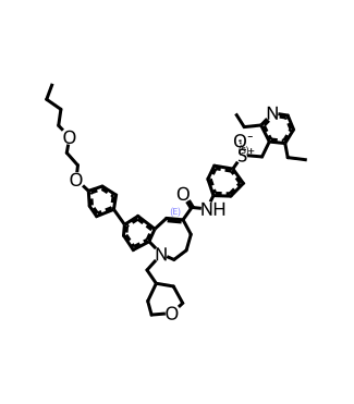 CCCCOCCOc1ccc(-c2ccc3c(c2)/C=C(/C(=O)Nc2ccc([S@+]([O-])Cc4c(CC)ccnc4CC)cc2)CCCN3CC2CCOCC2)cc1